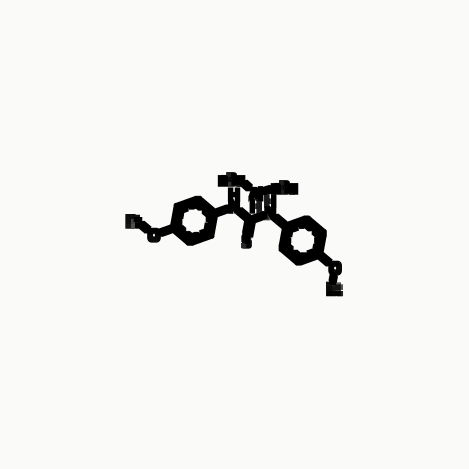 CCC[CH2][AlH][CH2]CCC.CCOc1ccc(NC(=S)Nc2ccc(OCC)cc2)cc1